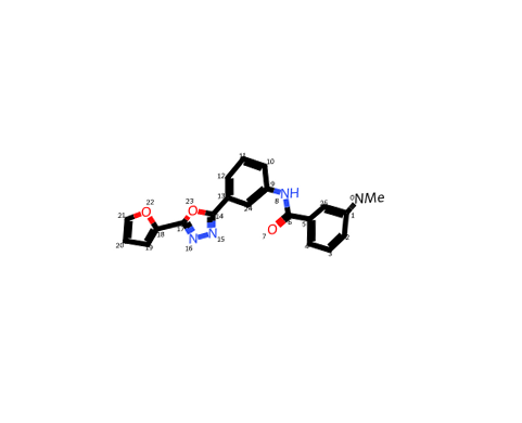 CNc1cccc(C(=O)Nc2cccc(-c3nnc(-c4ccco4)o3)c2)c1